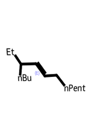 [CH2]CCCCC/C=C/C(CC)CCC[CH2]